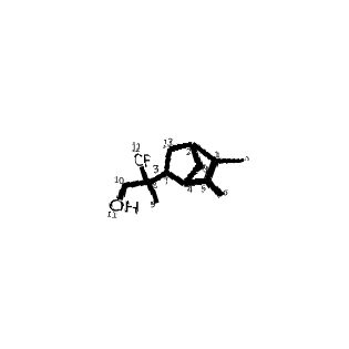 CC1C2CC(C1C)C(C(C)(CO)C(F)(F)F)C2